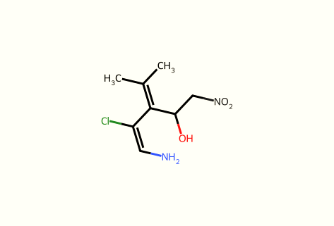 CC(C)=C(/C(Cl)=C\N)C(O)C[N+](=O)[O-]